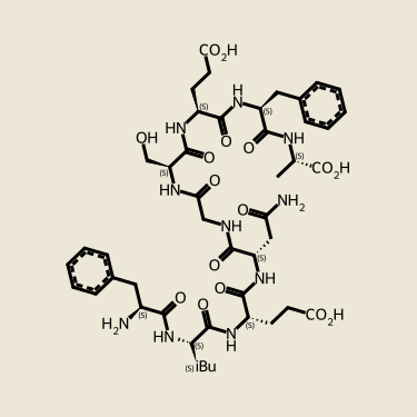 CC[C@H](C)[C@H](NC(=O)[C@@H](N)Cc1ccccc1)C(=O)N[C@@H](CCC(=O)O)C(=O)N[C@@H](CC(N)=O)C(=O)NCC(=O)N[C@@H](CO)C(=O)N[C@@H](CCC(=O)O)C(=O)N[C@@H](Cc1ccccc1)C(=O)N[C@@H](C)C(=O)O